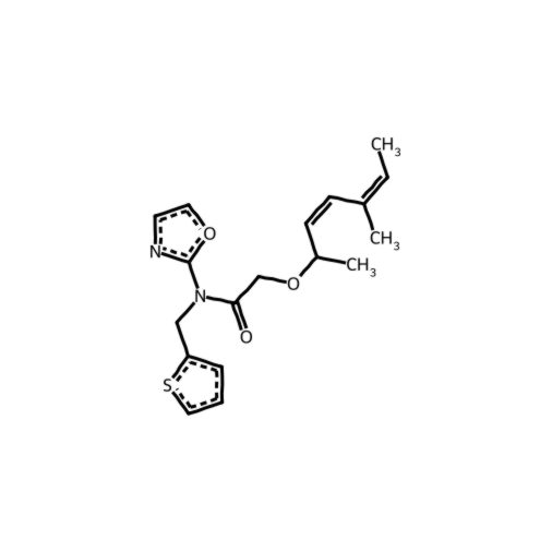 C/C=C(C)\C=C/C(C)OCC(=O)N(Cc1cccs1)c1ncco1